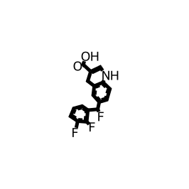 O=C(O)C1=CNc2ccc(C(F)c3cccc(F)c3F)cc2C1